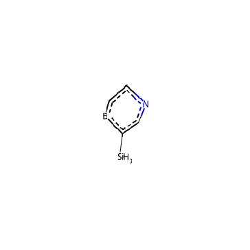 [SiH3]c1bccnc1